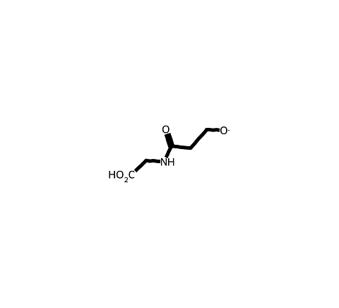 [O]CCC(=O)NCC(=O)O